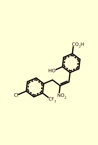 O=C(O)c1ccc(C=C(Cc2ccc(Cl)cc2C(F)(F)F)[N+](=O)[O-])c(O)c1